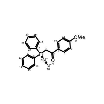 COc1ccc(C(=O)CP(=[N+]=[N-])(c2ccccc2)c2ccccc2)cc1